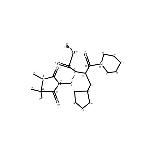 CN1C(=O)N(C[C@H](C(=O)OC(C)(C)C)C(CC2CCCC2)C(=O)N2CCCCC2)C(=O)C1(C)C